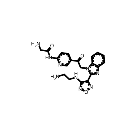 NCCNc1nonc1-c1nc2ccccc2n1CC(=O)c1ccc(NC(=O)CN)nc1